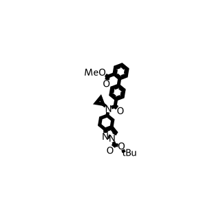 COC(=O)c1ccccc1-c1ccc(C(=O)N(C2CC2)C2CCc3nn(C(=O)OC(C)(C)C)cc3C2)cc1